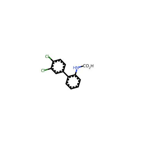 O=C(O)Nc1ccccc1-c1ccc(Cl)c(Cl)c1